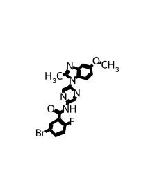 COc1ccc2c(c1)nc(C)n2-c1cnc(NC(=O)c2cc(Br)ccc2F)cn1